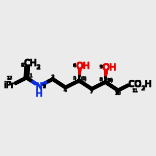 C=C(NCC[C@@H](O)C[C@@H](O)CC(=O)O)C(C)C